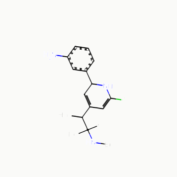 CCNC(C)(C)C(C)C1=CC(c2cccc(N)c2)NC(Cl)=C1